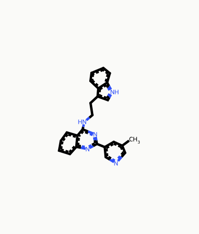 Cc1cncc(-c2nc(NCCc3c[nH]c4ccccc34)c3ccccc3n2)c1